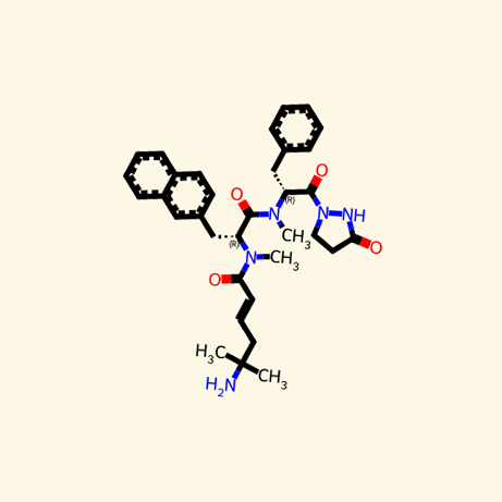 CN(C(=O)C=CCC(C)(C)N)[C@H](Cc1ccc2ccccc2c1)C(=O)N(C)[C@H](Cc1ccccc1)C(=O)N1CCC(=O)N1